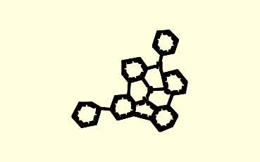 c1ccc(-c2cc3c4c(c2)c2cccc5c2n4B2c4c-5cccc4N(c4ccccc4)c4cccc-3c42)cc1